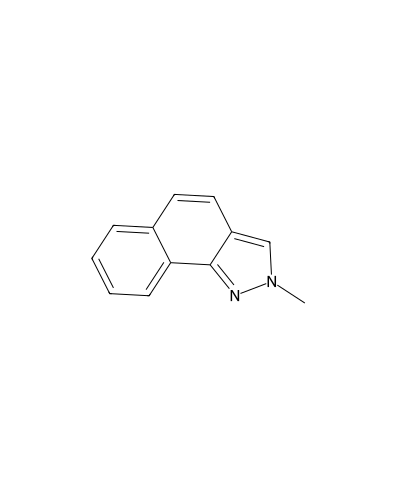 Cn1cc2ccc3ccccc3c2n1